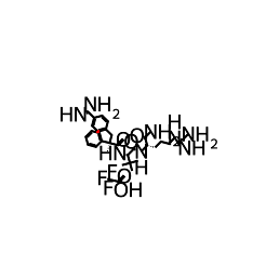 CC(C)(C)[C@H](NC(=O)[C@](C)(Cc1ccc(C(=N)N)cc1)c1ccccc1)C(=O)N[C@@H](CCCNC(=N)N)C(N)=O.O=C(O)C(F)(F)F